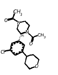 CC(=O)N1CCN(C(C)=O)[C@H](c2cc(Cl)cc(C3CCOCC3)c2)C1